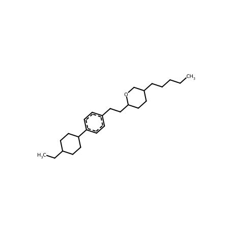 CCCCCC1CCC(CCc2ccc(C3CCC(CC)CC3)cc2)OC1